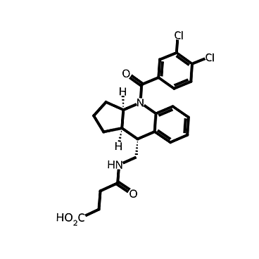 O=C(O)CCC(=O)NC[C@H]1c2ccccc2N(C(=O)c2ccc(Cl)c(Cl)c2)[C@@H]2CCC[C@@H]21